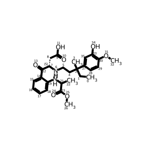 CCC(C)(CCN[C@@H](CC(=O)O)C(=O)c1ccccc1NC(C)C(=O)OC)c1ccc(OC)c(O)c1